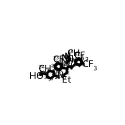 CCC1CC(N(Cc2cc(C(F)(F)F)cc(C(F)(F)F)c2)c2nnn(C)n2)c2cc(C(F)(F)F)ccc2N1CC1CCC([C@@H](C)O)CC1